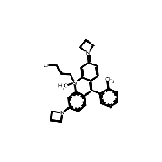 Cc1ccccc1C1=C2C=CC(=[N+]3CCC3)C=C2[Si](C)(CCCCl)c2cc(N3CCC3)ccc21